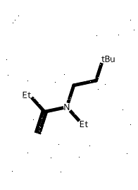 C=C(CC)N(CC)CCC(C)(C)C